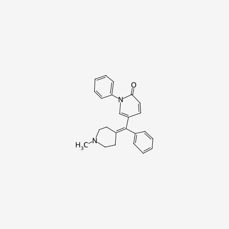 CN1CCC(=C(c2ccccc2)c2ccc(=O)n(-c3ccccc3)c2)CC1